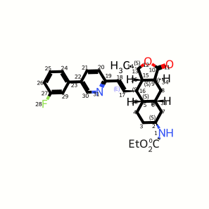 CCOC(=O)N[C@H]1CC[C@H]2[C@@H](C1)C[C@@H]1C(=O)O[C@@H](C)[C@H]1[C@@H]2/C=C/c1ccc(-c2cccc(F)c2)cn1